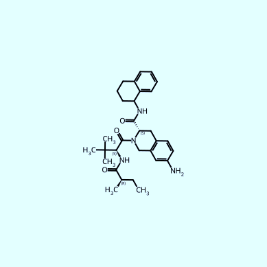 CC[C@@H](C)C(=O)N[C@H](C(=O)N1Cc2cc(N)ccc2C[C@H]1C(=O)NC1CCCc2ccccc21)C(C)(C)C